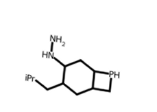 CC(C)CC1CC2CPC2CC1NN